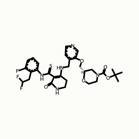 CC(C)(C)OC(=O)N1CCO[C@H](COc2cnccc2CNC2=C(C(=S)Nc3cccc(F)c3CC(F)F)C(=O)NCC2)C1